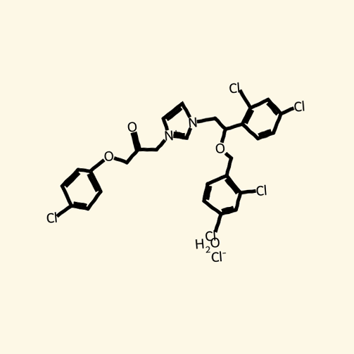 O.O=C(COc1ccc(Cl)cc1)C[n+]1ccn(CC(OCc2ccc(Cl)cc2Cl)c2ccc(Cl)cc2Cl)c1.[Cl-]